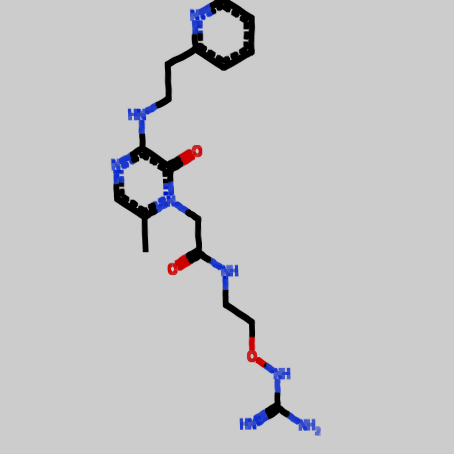 Cc1cnc(NCCc2ccccn2)c(=O)n1CC(=O)NCCONC(=N)N